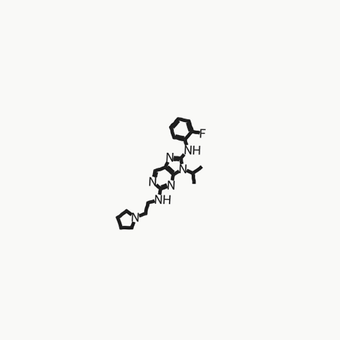 CC(C)n1c(Nc2ccccc2F)nc2cnc(NCCN3CCCC3)nc21